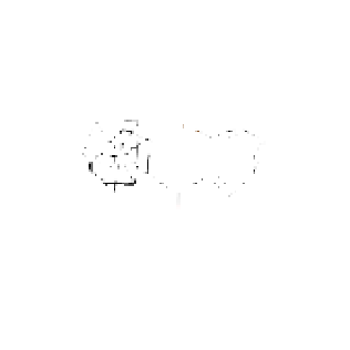 O=C(c1ccccc1Br)[C]12[CH]3[CH]4[CH]5[CH]1[Fe]45321678[CH]2[CH]1[CH]6[CH]7[CH]28